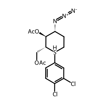 CC(=O)OC[C@@H]1[C@@H](OC(C)=O)[C@H](N=[N+]=[N-])CC[SH]1c1ccc(Cl)c(Cl)c1